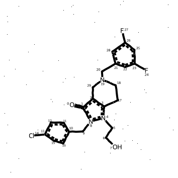 O=c1c2c(n(CCO)n1Cc1ccc(Cl)cc1)CCN(Cc1cc(F)cc(F)c1)C2